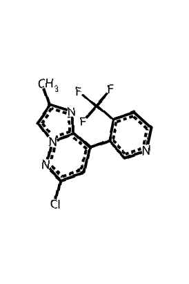 Cc1cn2nc(Cl)cc(-c3cnccc3C(F)(F)F)c2n1